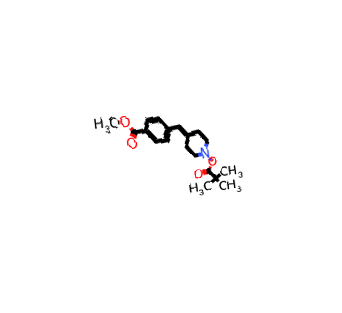 COC(=O)c1ccc(C=C2CCN(OC(=O)C(C)(C)C)CC2)cc1